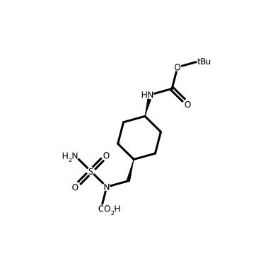 CC(C)(C)OC(=O)N[C@H]1CC[C@@H](CN(C(=O)O)S(N)(=O)=O)CC1